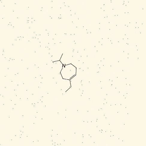 CCC1=CCCN(C(C)C)CC1